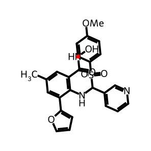 COc1ccc(S(=O)(=O)C(Nc2c(C(=O)NO)cc(C)cc2-c2ccco2)c2cccnc2)cc1